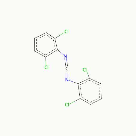 Clc1cccc(Cl)c1N=C=Nc1c(Cl)cccc1Cl